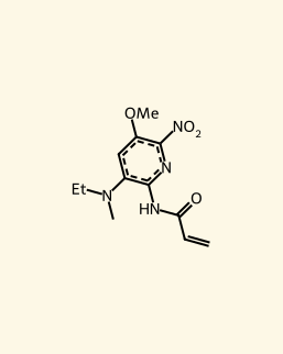 [CH2]CN(C)c1cc(OC)c([N+](=O)[O-])nc1NC(=O)C=C